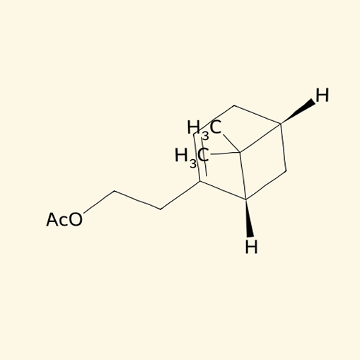 CC(=O)OCCC1=CC[C@@H]2C[C@H]1C2(C)C